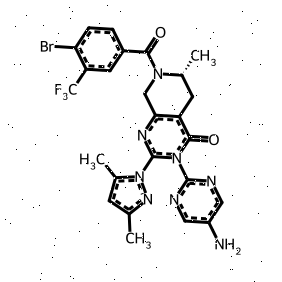 Cc1cc(C)n(-c2nc3c(c(=O)n2-c2ncc(N)cn2)C[C@@H](C)N(C(=O)c2ccc(Br)c(C(F)(F)F)c2)C3)n1